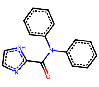 O=C(c1ncc[nH]1)N(c1ccccc1)c1ccccc1